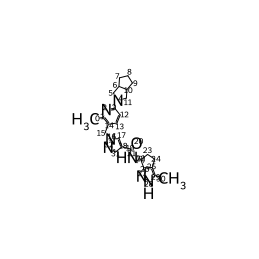 Cc1nc(N2CC3CCCC3C2)ccc1Cn1cc(C(=O)N[C@@H]2CCc3c2n[nH]c3C)cn1